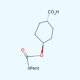 CCCCCC(=O)O[C@H]1CC[C@H](C(=O)O)CC1